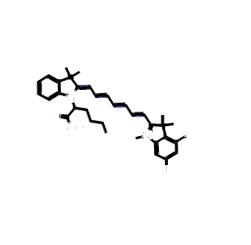 CCCCC(C(=O)O)N1\C(=C/C=C/C=C/C=C/C2=[N+](C)c3cc(I)cc(I)c3C2(C)C)C(C)(C)c2ccccc21